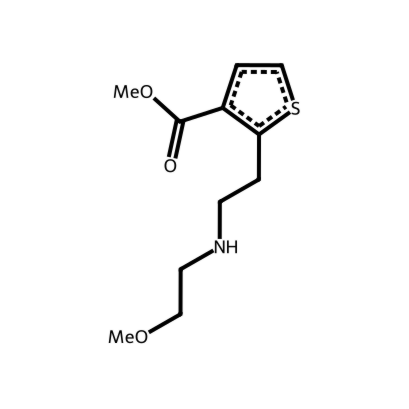 COCCNCCc1sccc1C(=O)OC